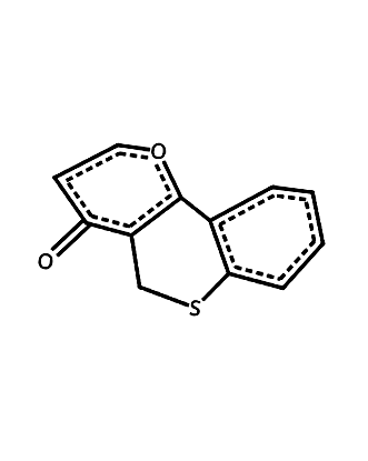 O=c1ccoc2c1CSc1ccccc1-2